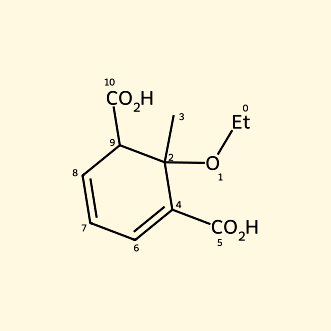 CCOC1(C)C(C(=O)O)=CC=CC1C(=O)O